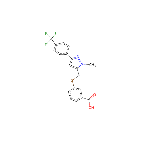 Cn1nc(-c2ccc(C(F)(F)F)cc2)cc1CSc1cccc(C(=O)O)c1